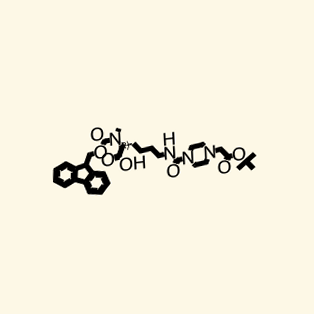 CN(C(=O)OCC1c2ccccc2-c2ccccc21)[C@H](CCCCNC(=O)N1CCN(CC(=O)OC(C)(C)C)CC1)C(=O)O